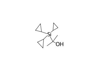 CC(C)(O)[Si](C1CC1)(C1CC1)C1CC1